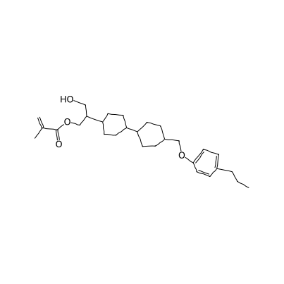 C=C(C)C(=O)OCC(CO)C1CCC(C2CCC(COc3ccc(CCC)cc3)CC2)CC1